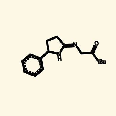 CCC(C)C(=O)C/N=C1/CCC(c2ccccc2)N1